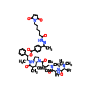 CC[C@H](C)[C@@H]([C@@H](CC(=O)N1CCC[C@H]1[C@H](OC)[C@@H](C)C(=O)N[C@H](C)[C@@H](OC(=O)c1ccc(/C(C)=N\NC(=O)CCCCCN2C(=O)C=CC2=O)cc1)c1ccccc1)OC)N(C)C(=O)[C@@H](NC(=O)[C@H](C(C)C)N(C)C)C(C)C